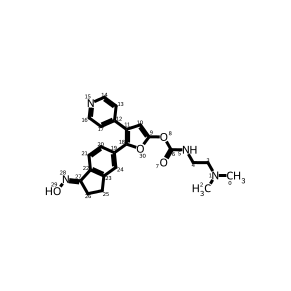 CN(C)CCNC(=O)Oc1cc(-c2ccncc2)c(-c2ccc3c(c2)CCC3=NO)o1